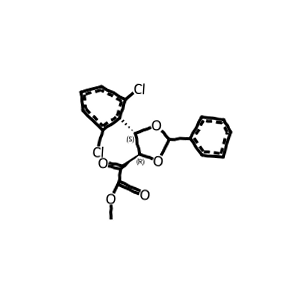 COC(=O)C(=O)[C@@H]1OC(c2ccccc2)O[C@H]1c1c(Cl)cccc1Cl